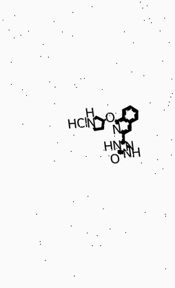 Cl.O=c1[nH]nc(-c2cc3ccccc3c(O[C@H]3CCNC3)n2)[nH]1